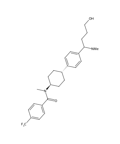 CNC(CCCO)c1ccc([C@H]2CC[C@H](N(C)C(=O)c3ccc(C(F)(F)F)cc3)CC2)cc1